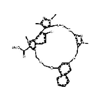 COC(=O)c1c2c3ccc(Cl)c(c3n1C)-c1c(C)nn(C)c1CSCc1cc(n(C)n1)CSc1cc(c3ccccc3c1)OCCC2